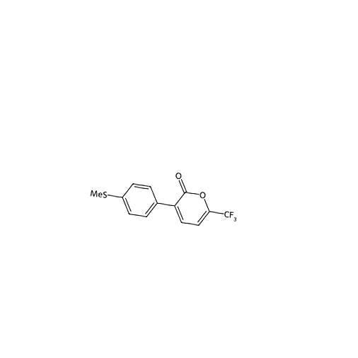 CSc1ccc(-c2ccc(C(F)(F)F)oc2=O)cc1